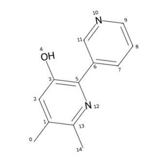 Cc1cc(O)c(-c2cccnc2)nc1C